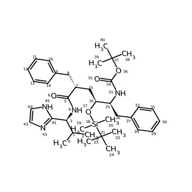 CC(C)[C@H](NC(=O)[C@H](Cc1ccccc1)C[C@H](O[Si](C)(C)C(C)(C)C)[C@H](Cc1ccccc1)NC(=O)OC(C)(C)C)c1ncc[nH]1